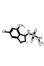 Cc1cc(Cl)cc2c1C(NS(=O)(=O)NC(=O)O)CC2